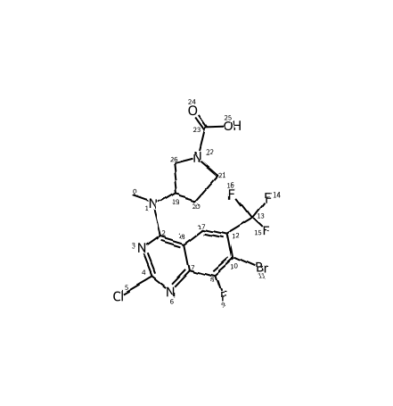 CN(c1nc(Cl)nc2c(F)c(Br)c(C(F)(F)F)cc12)C1CCN(C(=O)O)C1